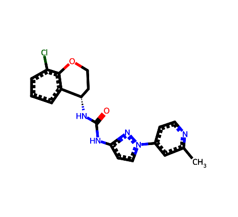 Cc1cc(-n2ccc(NC(=O)N[C@H]3CCOc4c(Cl)cccc43)n2)ccn1